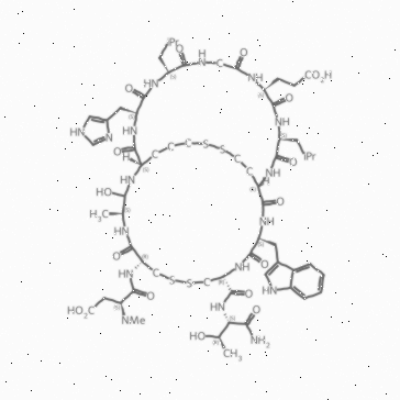 CN[C@@H](CC(=O)O)C(=O)N[C@H]1CSSC[C@@H](C(=O)N[C@H](C(N)=O)[C@@H](C)O)NC(=O)[C@H](Cc2c[nH]c3ccccc23)NC(=O)[C@@H]2CCSSCCC[C@H](NC(O)[C@H](C)NC1=O)C(=O)N[C@@H](Cc1c[nH]cn1)C(=O)N[C@@H](CC(C)C)C(=O)NCC(=O)N[C@@H](CCC(=O)O)C(=O)N[C@@H](CC(C)C)C(=O)N2